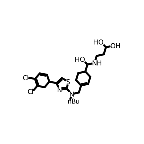 CCCCN(CC1=CCC(C(O)NCCC(O)O)CC1)c1nc(C2C=CC(Cl)=C(Cl)C2)cs1